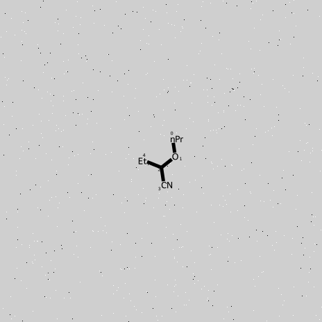 CCCOC(C#N)CC